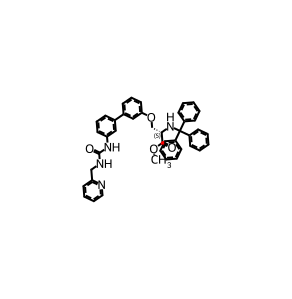 COC(=O)[C@H](COc1cccc(-c2cccc(NC(=O)NCc3ccccn3)c2)c1)NC(c1ccccc1)(c1ccccc1)c1ccccc1